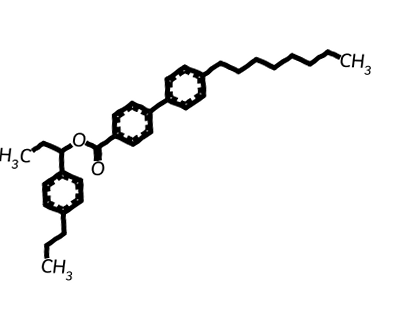 CCCCCCCCc1ccc(-c2ccc(C(=O)OC(CC)c3ccc(CCC)cc3)cc2)cc1